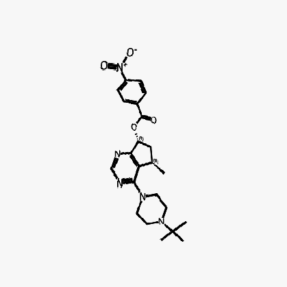 C[C@@H]1C[C@@H](OC(=O)c2ccc([N+](=O)[O-])cc2)c2ncnc(N3CCN(C(C)(C)C)CC3)c21